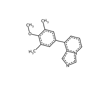 COc1c(C)cc(-c2cccn3cncc23)cc1C